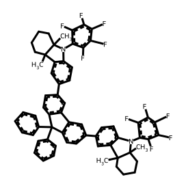 CC12CCCCC1(C)N(c1c(F)c(F)c(F)c(F)c1F)c1ccc(-c3ccc4c(c3)-c3cc(-c5ccc6c(c5)C5(C)CCCCC5(C)N6c5c(F)c(F)c(F)c(F)c5F)ccc3C4(c3ccccc3)c3ccccc3)cc12